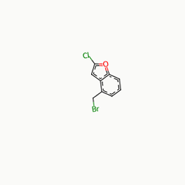 Clc1cc2c(CBr)cccc2o1